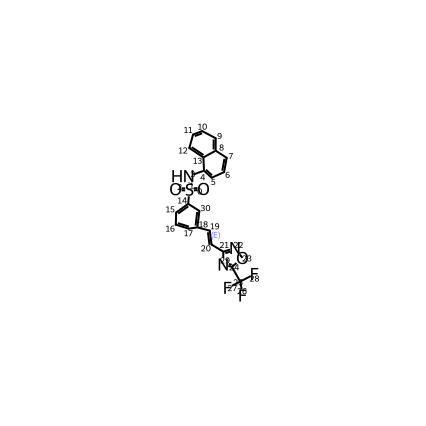 O=S(=O)(Nc1cccc2ccccc12)c1cccc(/C=C/c2noc(C(F)(F)F)n2)c1